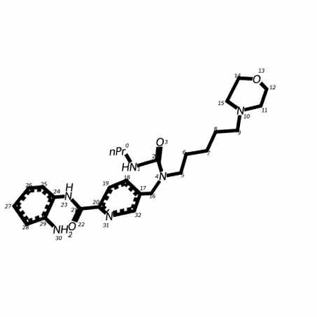 CCCNC(=O)N(CCCCCN1CCOCC1)Cc1ccc(C(=O)Nc2ccccc2N)nc1